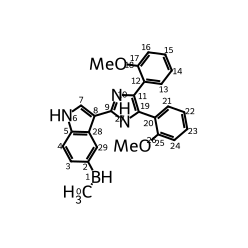 CBc1ccc2[nH]cc(-c3nc(-c4ccccc4OC)c(-c4ccccc4OC)[nH]3)c2c1